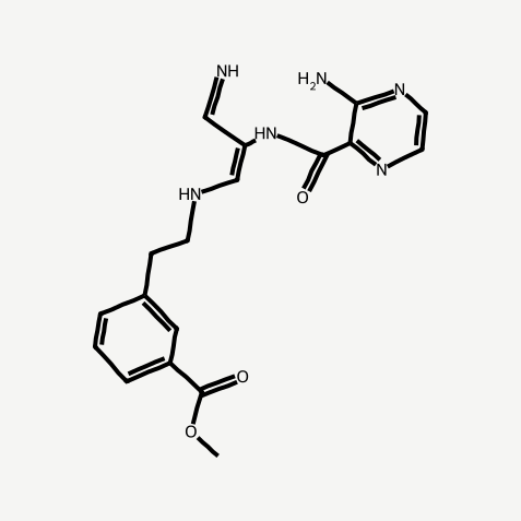 COC(=O)c1cccc(CCN/C=C(\C=N)NC(=O)c2nccnc2N)c1